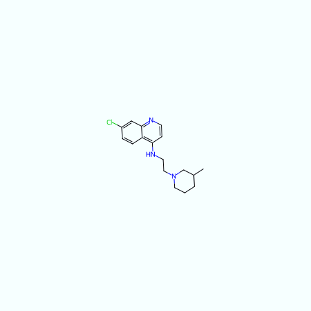 CC1CCCN(CCNc2ccnc3cc(Cl)ccc23)C1